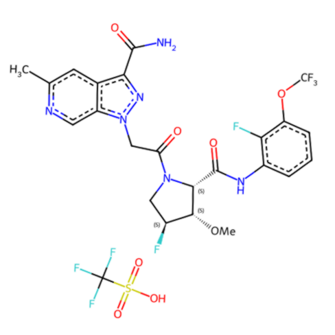 CO[C@H]1[C@@H](C(=O)Nc2cccc(OC(F)(F)F)c2F)N(C(=O)Cn2nc(C(N)=O)c3cc(C)ncc32)C[C@@H]1F.O=S(=O)(O)C(F)(F)F